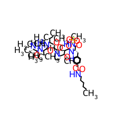 CCCCCCNC(=O)Oc1ccc(C[C@H](NC(=O)[C@H](C)[C@@H](OC)[C@@H]2CCCN2C(=O)C[C@@H](OC)[C@H]([C@@H](C)CC)N(C)C(=O)[C@@H](NC(=O)[C@H](C(C)C)N(C)C)C(C)C)C(=O)NS(C)(=O)=O)cc1